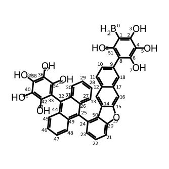 Bc1c(O)c(O)c(O)c(-c2ccc3cc4c(cc3c2)oc2cccc(-c3c5ccccc5c(-c5c(O)c(O)c(O)c(O)c5O)c5ccccc35)c24)c1O